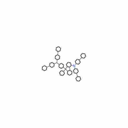 c1ccc(-c2ccc(C(c3ccc(-c4ccccc4)cc3)c3ccc(C4(c5ccccc5)c5ccccc5-c5c(N(c6ccc(-c7ccccc7)cc6)c6ccc(-c7ccccc7)cc6)cccc54)cc3)cc2)cc1